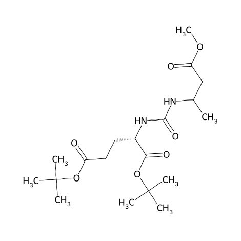 COC(=O)CC(C)NC(=O)N[C@@H](CCC(=O)OC(C)(C)C)C(=O)OC(C)(C)C